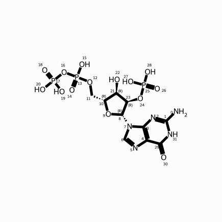 Nc1nc2c(ncn2[C@@H]2O[C@H](COP(=O)(O)OP(=O)(O)O)[C@@H](O)[C@H]2OP(=O)(O)O)c(=O)[nH]1